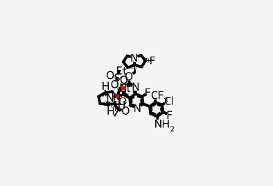 CC[C@@H](OS(=O)(=O)CC)C(=O)N1[C@@H]2CC[C@H]1[C@H]1[C@H](C)Oc3nc(-c4cc(N)c(F)c(Cl)c4C(F)(F)F)c(F)c4nc(OC[C@@]56CCCN5C[C@H](F)C6)nc(c34)N1C2